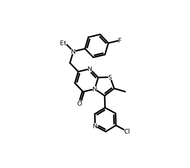 CCN(Cc1cc(=O)n2c(-c3cncc(Cl)c3)c(C)sc2n1)c1ccc(F)cc1